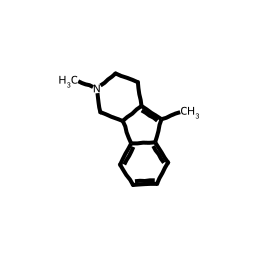 CC1=C2CCN(C)CC2c2ccccc21